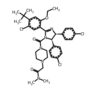 CCOc1cc(C(C)(C)C)c(Cl)cc1C1=N[C@@H](c2ccc(Cl)cc2)[C@@H](c2ccc(Cl)cc2)N1C(=O)N1CCN(CC(=O)N(C)C)CC1